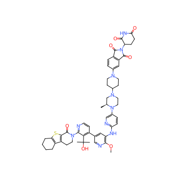 COc1ncc(-c2ccnc(N3CCc4c(sc5c4CCCC5)C3=O)c2C(C)(C)O)cc1Nc1ccc(N2CCN(C3CCN(c4ccc5c(c4)C(=O)N(C4CCC(=O)NC4=O)C5=O)CC3)C[C@@H]2C)cn1